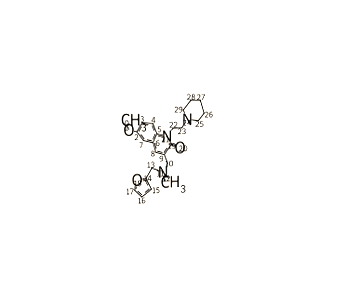 COc1ccc2c(c1)cc(CN(C)Cc1ccco1)c(=O)n2CCN1CCCCC1